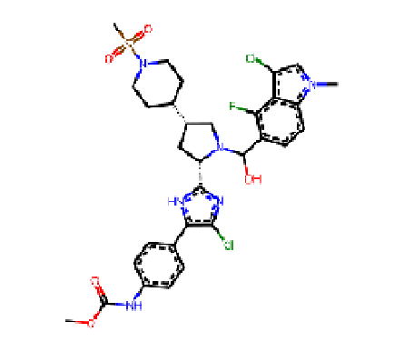 COC(=O)Nc1ccc(-c2[nH]c([C@@H]3C[C@H](C4CCN(S(C)(=O)=O)CC4)CN3C(O)c3ccc4c(c(Cl)cn4C)c3F)nc2Cl)cc1